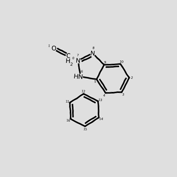 C=O.c1ccc2[nH]nnc2c1.c1ccccc1